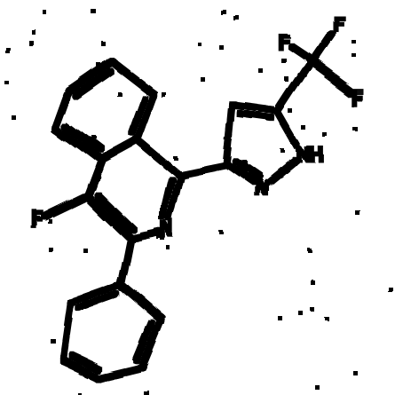 Fc1c(-c2ccccc2)nc(-c2cc(C(F)(F)F)[nH]n2)c2ccccc12